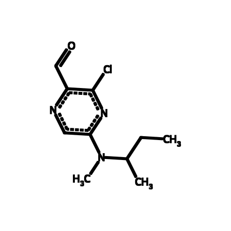 CCC(C)N(C)c1cnc(C=O)c(Cl)n1